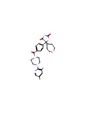 Cc1cnc(N2CCN(C(=O)c3ccc(C4(C5CCOCC5)NC(=O)NC4=O)cc3)CC2)c(C)c1